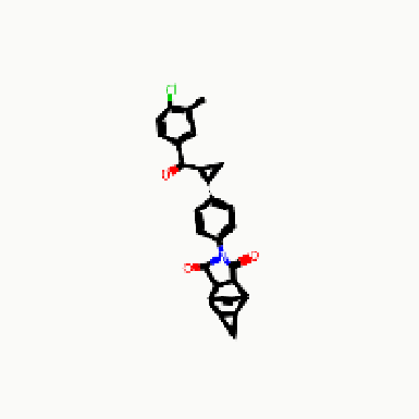 Cc1cc(C(=O)C2C[C@@H]2c2ccc(N3C(=O)C4C5C=CC(C6CC56)C4C3=O)cc2)ccc1Cl